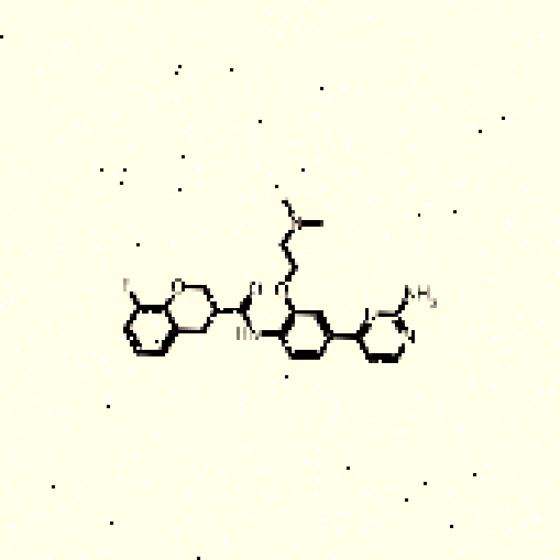 CN(C)CCOc1cc(-c2ccnc(N)n2)ccc1NC(=O)C1COc2c(F)cccc2C1